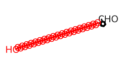 O=Cc1ccccc1OOOOOOOOOOOOOOOOOOOOOOOOOOOOOOOOOOOOOO